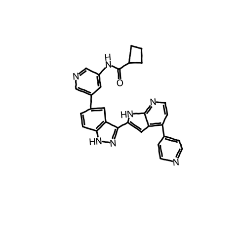 O=C(Nc1cncc(-c2ccc3[nH]nc(-c4cc5c(-c6ccncc6)ccnc5[nH]4)c3c2)c1)C1CCC1